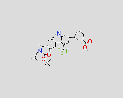 C=C(C/C(C(=C)C)=C(C(/C)=N\C)\C(=C/C(C)C1CCCC(C(=O)OC)C1)C(F)(F)F)C[C@@H](C)N(CC(C)C)C(=O)OC(C)(C)C